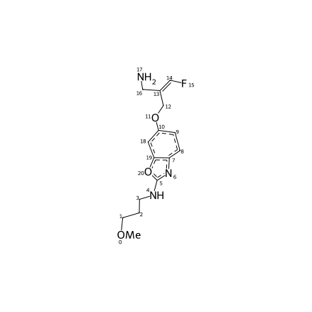 COCCCNc1nc2ccc(OC/C(=C\F)CN)cc2o1